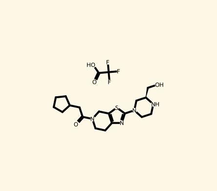 O=C(CC1CCCC1)N1CCc2nc(N3CCN[C@H](CO)C3)sc2C1.O=C(O)C(F)(F)F